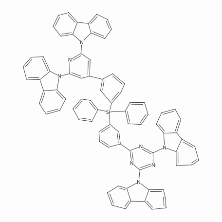 c1ccc([Si](c2ccccc2)(c2cccc(-c3cc(-n4c5ccccc5c5ccccc54)nc(-n4c5ccccc5c5ccccc54)c3)c2)c2cccc(-c3nc(-n4c5ccccc5c5ccccc54)nc(-n4c5ccccc5c5ccccc54)n3)c2)cc1